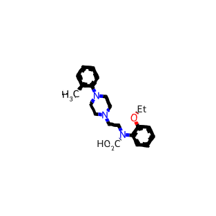 CCOc1ccccc1N(CCN1CCN(c2ccccc2C)CC1)C(=O)O